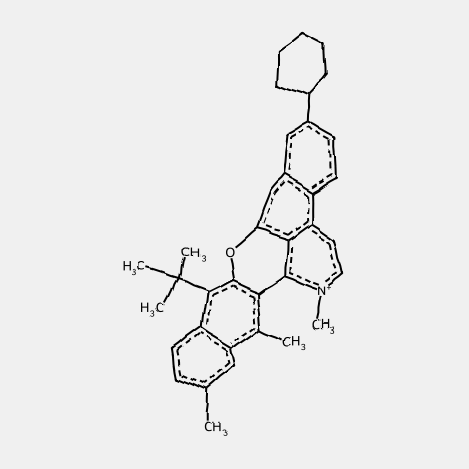 Cc1ccc2c(C(C)(C)C)c3c(c(C)c2c1)-c1c2c(cc4cc(C5CCCCC5)ccc4c2cc[n+]1C)O3